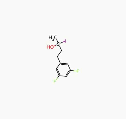 C[Si](O)(I)CCc1cc(F)cc(F)c1